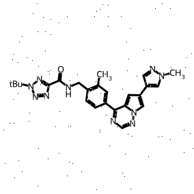 Cc1cc(-c2ncnn3cc(-c4cnn(C)c4)cc23)ccc1CNC(=O)c1nnn(C(C)(C)C)n1